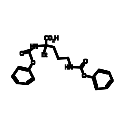 CCC(CCCNC(=O)Oc1ccccc1)(NC(=O)Oc1ccccc1)C(=O)O